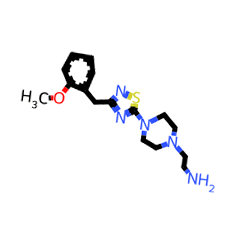 COc1ccccc1Cc1nsc(N2CCN(CCN)CC2)n1